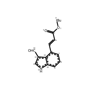 CC(C)(C)OC(=O)/C=C/c1cccc2[nH]cc(C=O)c12